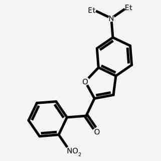 CCN(CC)c1ccc2cc(C(=O)c3ccccc3[N+](=O)[O-])oc2c1